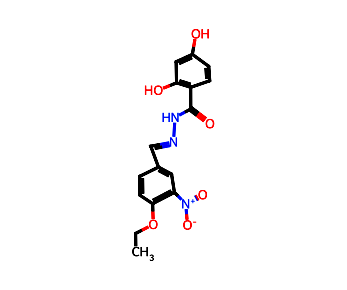 CCOc1ccc(C=NNC(=O)c2ccc(O)cc2O)cc1[N+](=O)[O-]